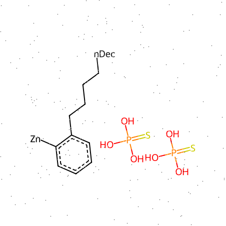 CCCCCCCCCCCCCCc1cccc[c]1[Zn].OP(O)(O)=S.OP(O)(O)=S